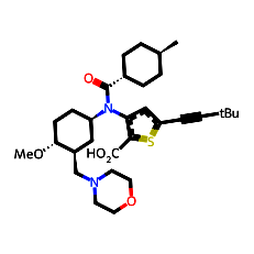 CO[C@@H]1CC[C@@H](N(c2cc(C#CC(C)(C)C)sc2C(=O)O)C(=O)[C@H]2CC[C@H](C)CC2)C[C@H]1CN1CCOCC1